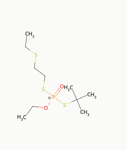 CCO[P@@](=O)(SCCSCC)SC(C)(C)C